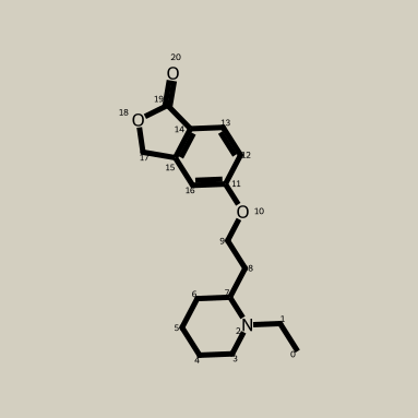 CCN1CCCCC1CCOc1ccc2c(c1)COC2=O